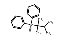 CC(C)C(C)(C)[SH](=O)(c1ccccc1)c1ccccc1